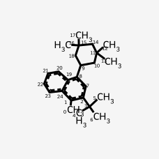 Cc1c(C(C)(C)C)cc(C2CC(C)(C)CC(C)(C)C2)c2ccccc12